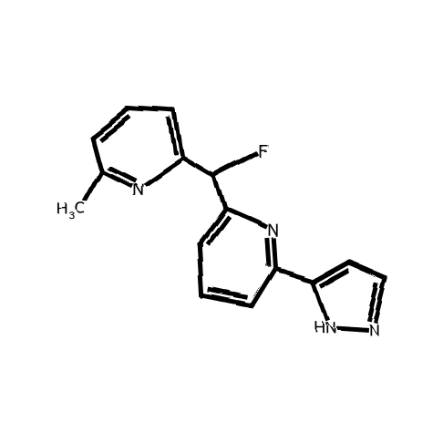 Cc1cccc(C(F)c2cccc(-c3ccn[nH]3)n2)n1